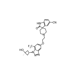 C[C@]1(O)C[C@@H](n2nnc3cc(OCCN4CCC5(CC4)C(=O)Nc4ccc(C#N)cc45)cc(C(F)(F)F)c32)C1